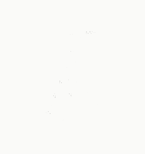 CNC(=O)COc1cccc(Nc2nc(CC3CCC3)c3cc[nH]c3n2)c1